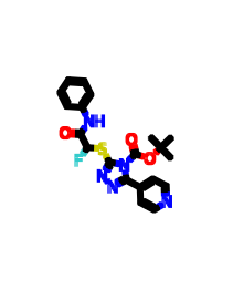 CC(C)(C)OC(=O)n1c(SC(F)C(=O)Nc2ccccc2)nnc1-c1ccncc1